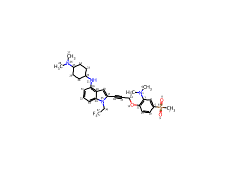 CN(C)c1cc(S(C)(=O)=O)ccc1OCC#Cc1cc2c(NC3CCC(N(C)C)CC3)cccc2n1CC(F)(F)F